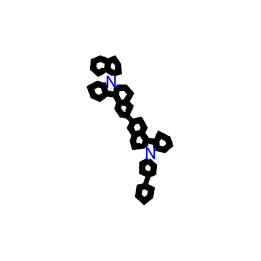 c1ccc(-c2ccc(-n3c4ccccc4c4c5ccc(-c6ccc7c(ccc8c7c7ccccc7n8-c7cccc8ccccc78)c6)cc5ccc43)cc2)cc1